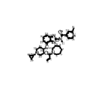 C=CC(=O)N1CCCC[C@@H](n2c(N(C)C(=O)c3ccnc(C)c3)nc3cccc(OC4CCN(C5CC5)CC4)c32)C1